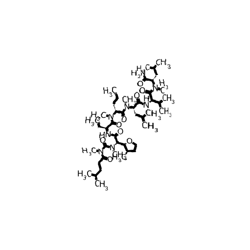 CCC[C@H](C(=O)N(C)[C@@H](CC(C)C)C(=O)N[C@H](C(=O)N(C)[C@@H](CC(C)C)C(N)=O)C(C)C)N(C)C(=O)[C@H](CC)NC(=O)[C@H]([C@@H]1OCC[C@H]1C)N(C)C(=O)N(C)C(=O)CCC(C)C